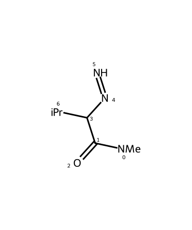 CNC(=O)C(N=N)C(C)C